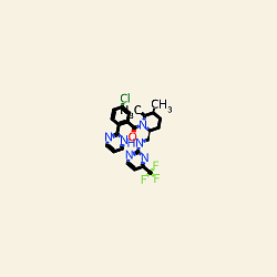 CC1[C@@H](C)CC[C@@H](CNc2nccc(C(F)(F)F)n2)N1C(=O)c1cc(Cl)ccc1-c1ncccn1